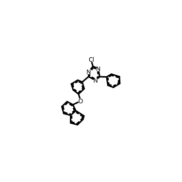 Clc1nc(-c2ccccc2)nc(-c2cccc(Oc3cccc4ccccc34)c2)n1